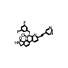 O=C1NCc2ccc(-c3ccc(C#Cc4cncnc4)nc3[C@H](Cc3cc(F)cc(F)c3)NCl)cc21